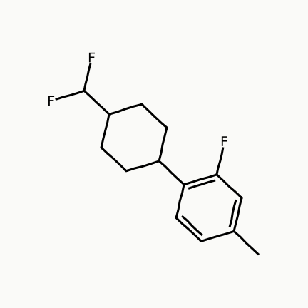 Cc1ccc(C2CCC(C(F)F)CC2)c(F)c1